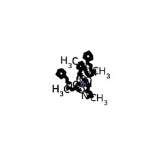 Cc1cnc(OCC(CN(C)CCCc2ccccc2)OC(=O)/C=C\C(=O)OC(COc2ncc(C)cc2C#N)CN(C)CCCc2ccccc2)c(C#N)c1